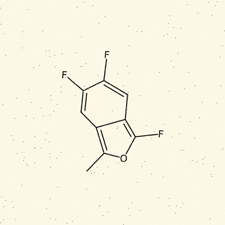 Cc1oc(F)c2cc(F)c(F)cc12